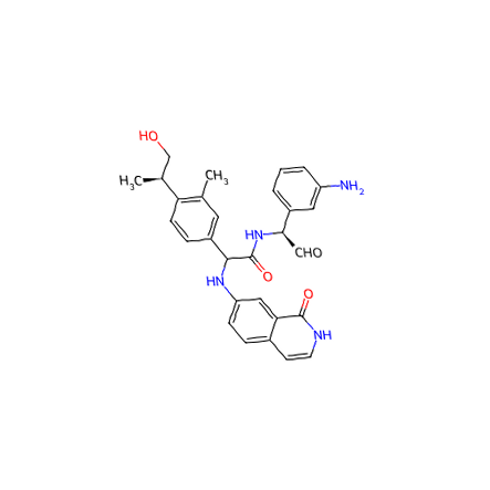 Cc1cc(C(Nc2ccc3cc[nH]c(=O)c3c2)C(=O)N[C@H](C=O)c2cccc(N)c2)ccc1[C@@H](C)CO